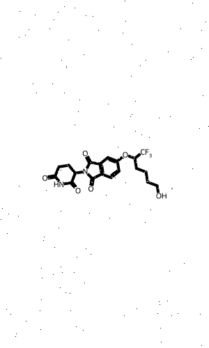 O=C1CCC(N2C(=O)c3ccc(OC(CCCCO)C(F)(F)F)cc3C2=O)C(=O)N1